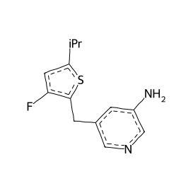 CC(C)c1cc(F)c(Cc2cncc(N)c2)s1